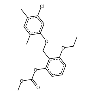 CCOc1cccc(OC(=O)OC)c1COc1cc(Cl)c(C)cc1C